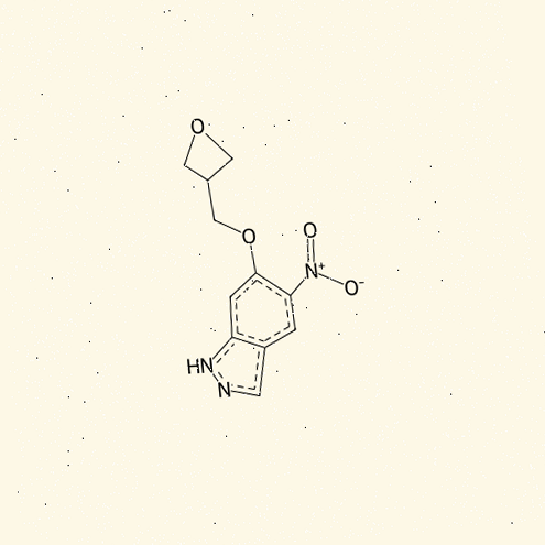 O=[N+]([O-])c1cc2cn[nH]c2cc1OCC1COC1